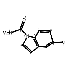 CNC(=O)n1ccc2cc(O)ccc21